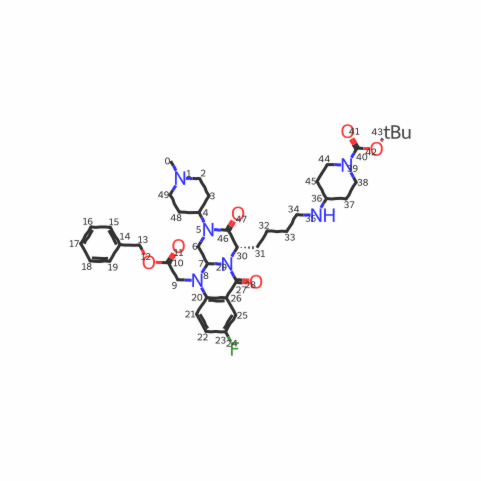 CN1CCC(N2CC3N(CC(=O)OCc4ccccc4)c4ccc(F)cc4C(=O)N3[C@@H](CCCCNC3CCN(C(=O)OC(C)(C)C)CC3)C2=O)CC1